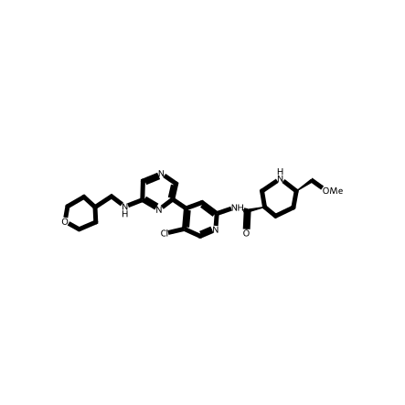 COC[C@H]1CC[C@@H](C(=O)Nc2cc(-c3cncc(NCC4CCOCC4)n3)c(Cl)cn2)CN1